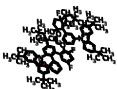 CC(C)(C)CC(C)(C)c1cc(-c2cc(F)cc(F)c2OCCOC2(O)C=CC(F)(C(C)(C)CC(C)(C)C)C=C2c2cccc(-n3c4ccc(C(C)(C)C)cc4c4cc(C(C)(C)C)ccc43)c2)c(-c2ccccc2O)c(-n2c3ccc(C(C)(C)C)cc3c3cc(C(C)(C)C)ccc32)c1